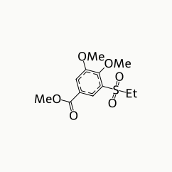 CCS(=O)(=O)c1cc(C(=O)OC)cc(OC)c1OC